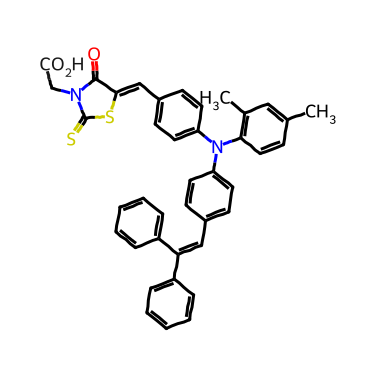 Cc1ccc(N(c2ccc(C=C(c3ccccc3)c3ccccc3)cc2)c2ccc(/C=C3\SC(=S)N(CC(=O)O)C3=O)cc2)c(C)c1